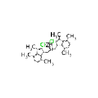 CC1=CC(C[SiH](CC2C=C(C)c3c(C)ccc(C)c32)[Zr]([Cl])[Cl])c2c(C)ccc(C)c21